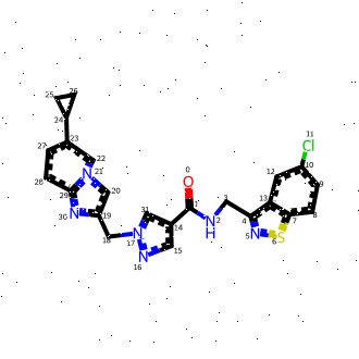 O=C(NCc1nsc2ccc(Cl)cc12)c1cnn(Cc2cn3cc(C4CC4)ccc3n2)c1